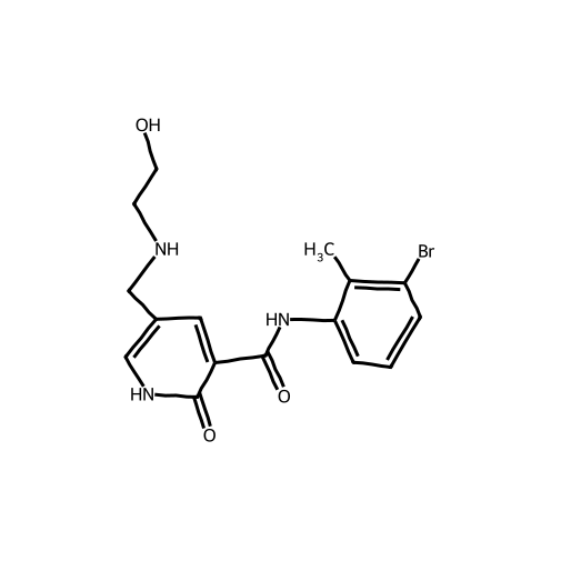 Cc1c(Br)cccc1NC(=O)c1cc(CNCCO)c[nH]c1=O